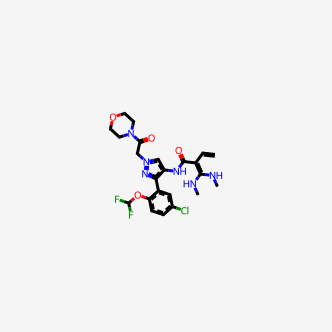 C=CC(C(=O)Nc1cn(CC(=O)N2CCOCC2)nc1-c1cc(Cl)ccc1OC(F)F)=C(NC)NC